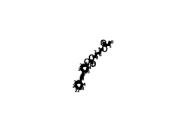 C=CC(=O)OCCCCOC(=O)Oc1ccc(C#Cc2ccccc2)cc1